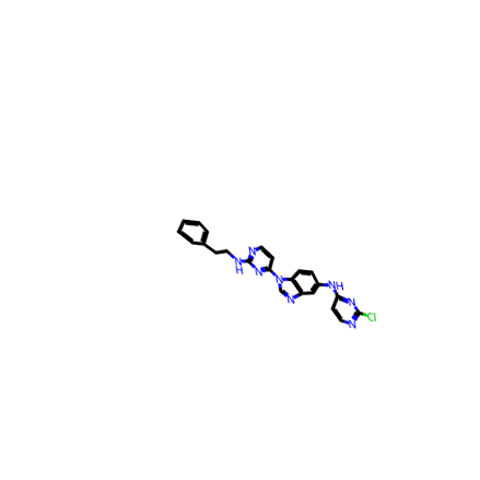 Clc1nccc(Nc2ccc3c(c2)ncn3-c2ccnc(NCCc3ccccc3)n2)n1